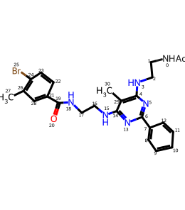 CC(=O)NCCNc1nc(-c2ccccc2)nc(NCCNC(=O)c2ccc(Br)c(C)c2)c1C